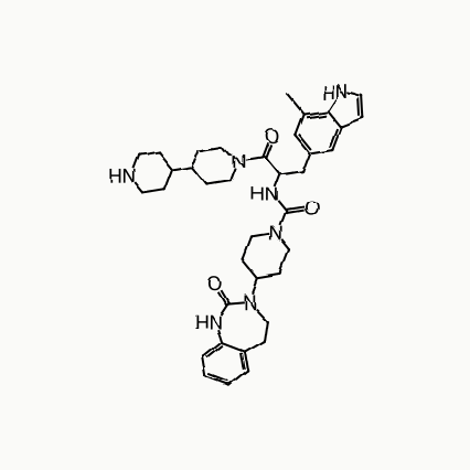 Cc1cc(CC(NC(=O)N2CCC(N3CCc4ccccc4NC3=O)CC2)C(=O)N2CCC(C3CCNCC3)CC2)cc2cc[nH]c12